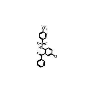 O=C(c1ccccc1)c1cc(Cl)ccc1NS(=O)(=O)c1ccc(C(F)(F)F)cc1